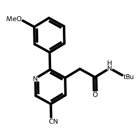 COc1cccc(-c2ncc(C#N)cc2CC(=O)NC(C)(C)C)c1